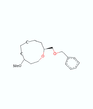 COC1CCCCC[C@@H](COCc2ccccc2)OCC1